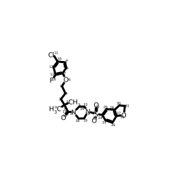 CC(C)(CCCOc1ccc(Cl)cc1F)C(=O)N1CCN(S(=O)(=O)c2ccc3c(c2)CCO3)CC1